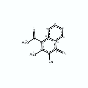 COC(=O)c1c(SC)c(C#N)c(=O)n2ccccc12